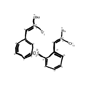 CC(C)(C)[N+]([O-])=Cc1ccccc1.CC(C)(C)[N+]([O-])=Cc1ccccc1S(=O)(=O)O